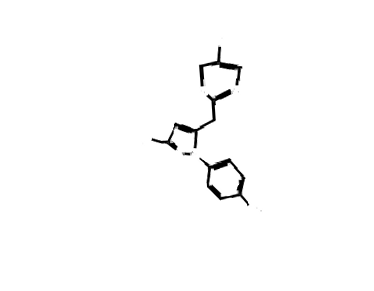 N#Cc1ccc(-n2nc(C(F)(F)F)cc2CC2=NC=C(Cl)CN2)cc1